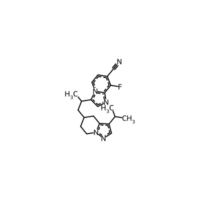 CC(C)c1cnn2c1CC(CC(C)c1cnc3c(F)c(C#N)ccn13)CC2